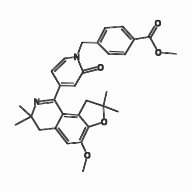 COC(=O)c1ccc(Cn2ccc(C3=NC(C)(C)Cc4cc(OC)c5c(c43)CC(C)(C)O5)cc2=O)cc1